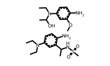 CCN(CC)c1ccc(N)c(C(C)NS(C)(=O)=O)c1.CCN(c1ccc(N)c(OC)c1)C(C)O